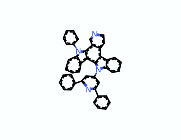 c1ccc(-c2cc(-n3c4ccccc4c4c5ccncc5c5c(c6ccccc6n5-c5ccccc5)c43)cc(-c3ccccc3)n2)cc1